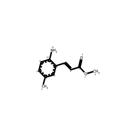 COC(=O)C=Cc1cc(C)ccc1N